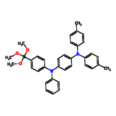 CO[Si](OC)(OC)c1ccc(N(c2ccccc2)c2ccc(N(c3ccc(C)cc3)c3ccc(C)cc3)cc2)cc1